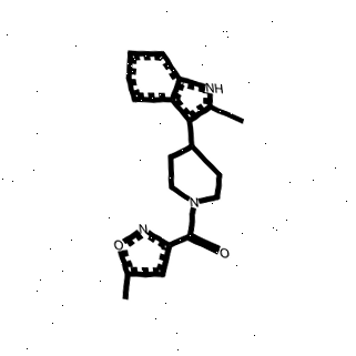 Cc1cc(C(=O)N2CCC(c3c(C)[nH]c4ccccc34)CC2)no1